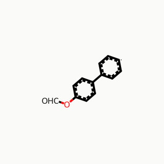 O=COc1ccc(-c2cc[c]cc2)cc1